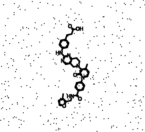 Cc1ccoc1CNC(=O)c1ccc(-n2ccc(C)c(N3CCc4nc(Nc5ccc(CCC(=O)O)cc5)ncc4C3)c2=O)cc1